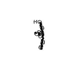 COCCOCCC(COCCOCCO)OC(=O)OC